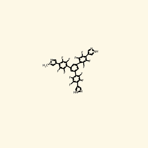 Cn1cc(-c2c(F)c(F)c(-c3cc(-c4c(F)c(F)c(-c5cn[nH]c5)c(F)c4F)cc(-c4c(F)c(F)c(-c5cn[nH]c5)c(F)c4F)c3)c(F)c2F)cn1